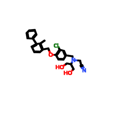 Cc1c(COc2ccc(CN(CC#N)C(CO)CO)cc2Cl)cccc1-c1ccccc1